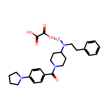 CN(CCc1ccccc1)C1CCN(C(=O)c2ccc(N3CCCC3)cc2)CC1.O=C(O)C(=O)O